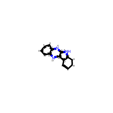 C1=Cc2c([nH]c3nc4ccccc4nc23)CC1